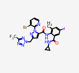 Cc1cc(I)cc(C(=O)NC2CC2)c1NC(=O)c1cc(Cn2nnc(C(F)(F)F)n2)nn1-c1ncccc1Br